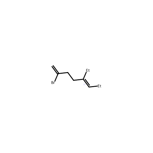 C=C(Br)CC/C(=C/CC)CC